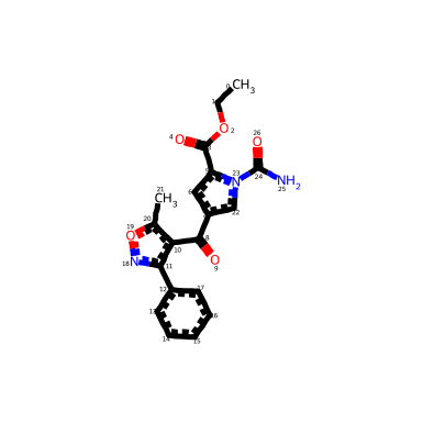 CCOC(=O)c1cc(C(=O)c2c(-c3ccccc3)noc2C)cn1C(N)=O